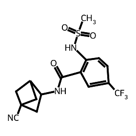 CS(=O)(=O)Nc1ccc(C(F)(F)F)cc1C(=O)NC1CC2(C#N)CC1C2